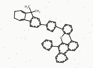 CC1(C)C2=CCCC=C2c2ccc(-c3ccc(-c4cccc5c4Oc4c(-c6ccccc6)c6ccccc6c6cccc-5c46)cc3)cc21